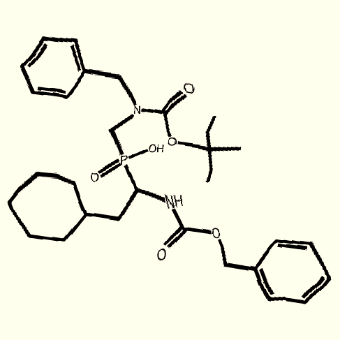 CC(C)(C)OC(=O)N(Cc1ccccc1)CP(=O)(O)C(CC1CCCCC1)NC(=O)OCc1ccccc1